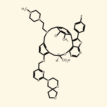 Cc1c2ccc(c1Cl)CN(CCN1CCN(C)CC1)Cc1ccc(OCc3ccnc(N4CCOC5(CCOC5)C4)n3)c(c1)C[C@H](C(=O)O)Oc1ncnc3sc(-c4ccc(F)cc4)c-2c13